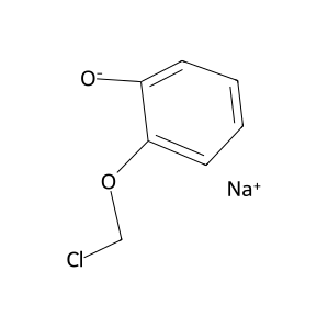 [Na+].[O-]c1ccccc1OCCl